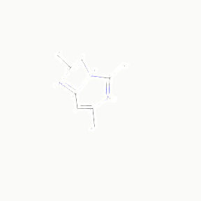 Cc1cc2nc(C)cn2c(C)n1